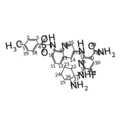 Cc1ccc(S(=O)(=O)Nc2cccc3cc(Nc4nc(NC5CCCCC5N)c(F)cc4C(N)=O)cnc23)cc1